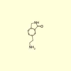 NCCc1ccc2c(c1)C(=O)NC2